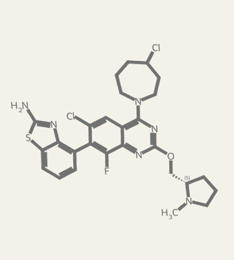 CN1CCC[C@H]1COc1nc(N2CCCC(Cl)CC2)c2cc(Cl)c(-c3cccc4sc(N)nc34)c(F)c2n1